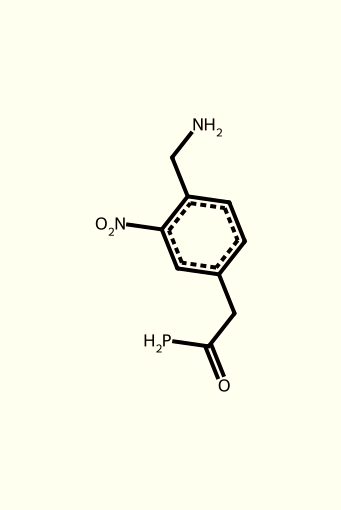 NCc1ccc(CC(=O)P)cc1[N+](=O)[O-]